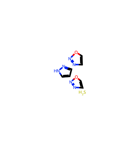 S.c1cn[nH]c1.c1conn1.c1conn1